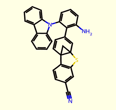 N#Cc1ccc2c(c1)SC13C=C(c4c(N)cccc4-n4c5ccccc5c5ccccc54)C=CC21C3